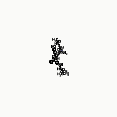 CCC(=O)NCCNC(=O)/N=C(/N)NCCC[C@@H](NC(=O)C(c1ccccc1)c1ccc(NCCNC(=O)OC(C)(C)C)cc1)C(=O)NCc1ccc(O)cc1